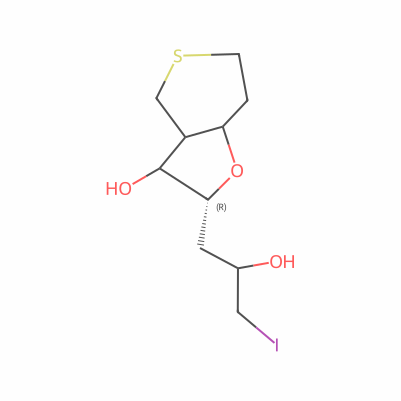 OC(CI)C[C@H]1OC2CCSCC2C1O